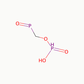 O=PCO[PH](=O)O